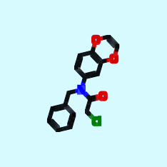 O=C(CCl)N(Cc1ccccc1)c1ccc2c(c1)OC=CO2